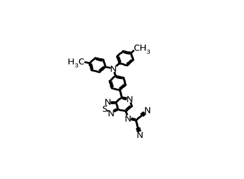 Cc1ccc(N(c2ccc(C)cc2)c2ccc(-c3ncc(N=C(C#N)C#N)c4nsnc34)cc2)cc1